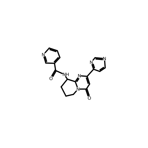 O=C(NC1CCCn2c1nc(-c1ccncn1)cc2=O)c1cccnc1